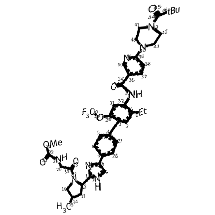 CCc1cc(-c2ccc(-c3c[nH]c(C4CC(C)CN4C(=O)CNC(=O)OC)n3)cc2)c(OC(F)(F)F)cc1NC(=O)c1ccc(N2CCN(C(=O)C(C)(C)C)CC2)nc1